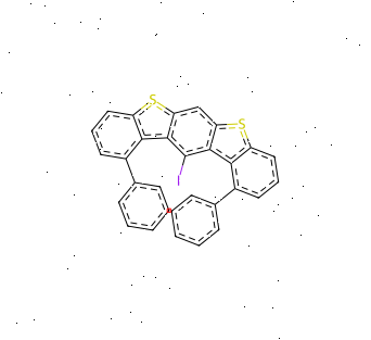 Ic1c2c(cc3sc4cccc(-c5ccccc5)c4c13)sc1cccc(-c3ccccc3)c12